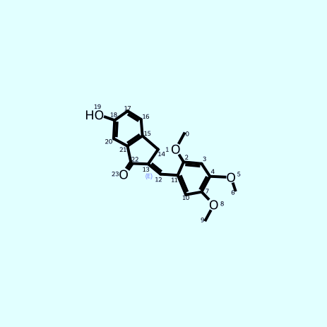 COc1cc(OC)c(OC)cc1/C=C1\Cc2ccc(O)cc2C1=O